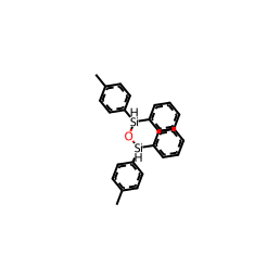 Cc1ccc([SiH](O[SiH](c2ccccc2)c2ccc(C)cc2)c2ccccc2)cc1